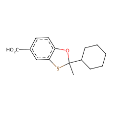 CC1(C2CCCCC2)Oc2ccc(C(=O)O)cc2S1